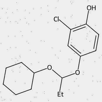 CCC(Oc1ccc(O)c(Cl)c1)OC1CCCCC1